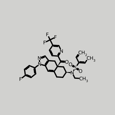 C=C/C(=C\C)S(=O)(=O)N(CC)[C@H]1CCC2=Cc3c(cnn3-c3ccc(F)cc3)C[C@]2(C(=O)c2ccc(C(F)(F)F)cn2)C1